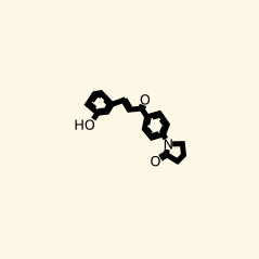 O=C(C=Cc1cccc(O)c1)c1ccc(N2CCCC2=O)cc1